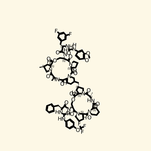 C[C@H]1C[C@H]2C(=O)OC[C@H](NC(=O)[C@H](Cc3cc(F)cc(F)c3)NC(=O)Nc3ccc4c(c3)OCO4)C(=O)N3CCC[C@H]3C(=O)N3CC(C[C@H]4C[C@H]5C(=O)OC[C@H](NC(=O)[C@H](Cc6ccccc6)NC(=O)Nc6ccc(OC(F)(F)F)cc6)C(=O)N6CCC[C@H]6C(=O)N6CCCC[C@H]6C(=O)N[C@@H](C)C(=O)N5C4)CC[C@H]3C(=O)N[C@@H](C)C(=O)N2C1